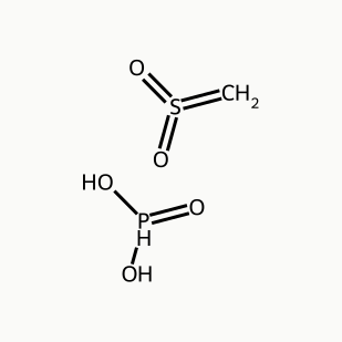 C=S(=O)=O.O=[PH](O)O